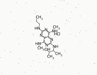 CCCNc1nc(NC)c2nc(NC(C)C(C)O)nc(NC)c2n1.Cl